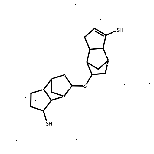 SC1=CCC2C3CC(CC3SC3CC4CC3C3C(S)CCC43)C12